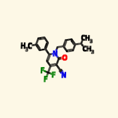 Cc1cccc(-c2cc(C(F)(F)F)c(C#N)c(=O)n2Cc2ccc(C(C)C)cc2)c1